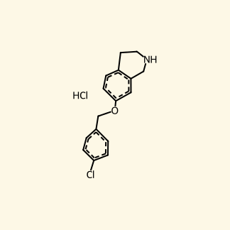 Cl.Clc1ccc(COc2ccc3c(c2)CNCC3)cc1